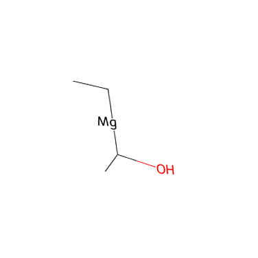 C[CH2][Mg][CH](C)O